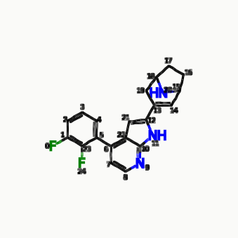 Fc1cccc(-c2ccnc3[nH]c(C4=CC5CCC(C4)N5)cc23)c1F